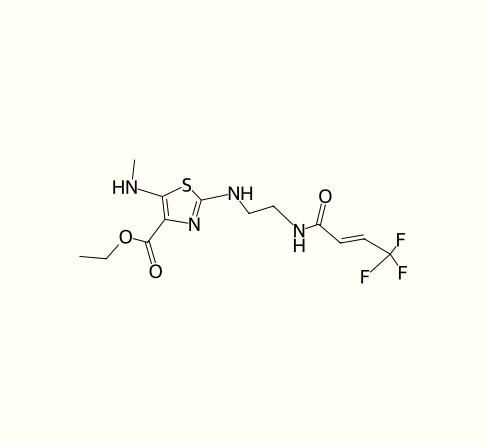 CCOC(=O)c1nc(NCCNC(=O)C=CC(F)(F)F)sc1NC